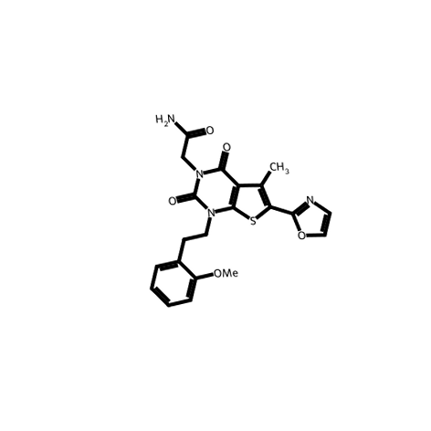 COc1ccccc1CCn1c(=O)n(CC(N)=O)c(=O)c2c(C)c(-c3ncco3)sc21